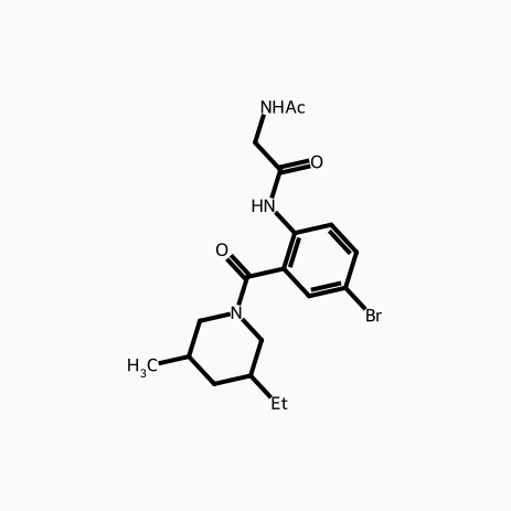 CCC1CC(C)CN(C(=O)c2cc(Br)ccc2NC(=O)CNC(C)=O)C1